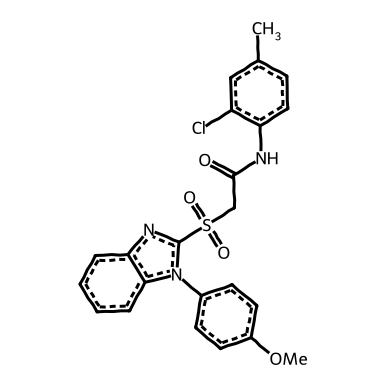 COc1ccc(-n2c(S(=O)(=O)CC(=O)Nc3ccc(C)cc3Cl)nc3ccccc32)cc1